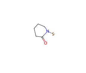 O=C1CCCCN1[S]